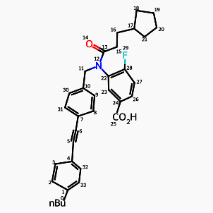 CCCCc1ccc(C#Cc2ccc(CN(C(=O)CCC3CCCC3)c3cc(C(=O)O)ccc3F)cc2)cc1